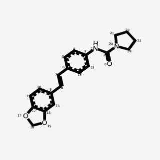 O=C(Nc1ccc(/C=C/c2ccc3c(c2)OCO3)cc1)N1CCCC1